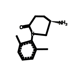 Cc1cccc(C)c1N1C[C@@H](N)CCC1=O